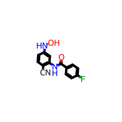 N#Cc1ccc(NO)cc1NC(=O)c1ccc(F)cc1